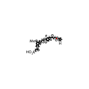 COc1cc2c(c(F)c1OCCCOc1c(OC)cc3sc(C(=O)CCC(=O)O[C@H]4CCNC4)cc3c1F)CN(C(=O)CCC(=O)O)C2